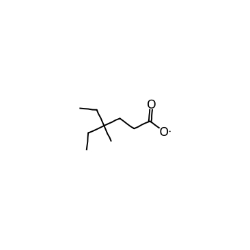 CCC(C)(CC)CCC([O])=O